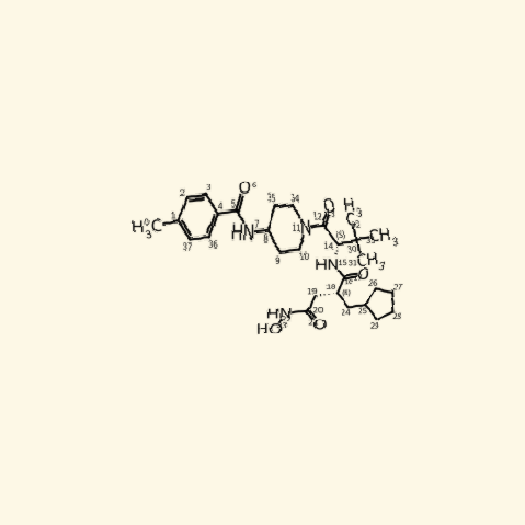 Cc1ccc(C(=O)NC2CCN(C(=O)[C@@H](NC(=O)[C@@H](CC(=O)NO)CC3CCCC3)C(C)(C)C)CC2)cc1